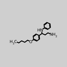 CCCCCOc1ccc(C(CCN)Nc2ccccc2)cc1